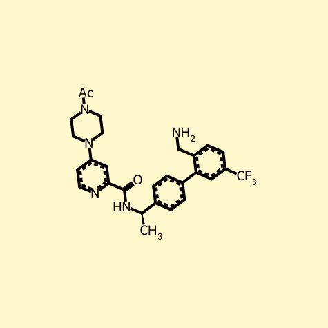 CC(=O)N1CCN(c2ccnc(C(=O)N[C@H](C)c3ccc(-c4cc(C(F)(F)F)ccc4CN)cc3)c2)CC1